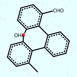 Cc1cccc(C)c1-c1ccccc1-c1c(C=O)cccc1C=O